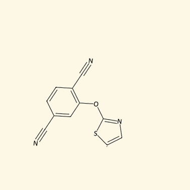 N#Cc1ccc(C#N)c(Oc2nc[c]s2)c1